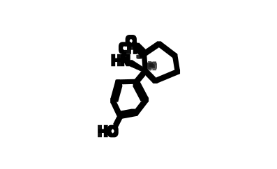 CN[C@]1(c2ccc(O)cc2)CCCCC1=O